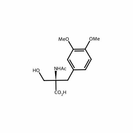 COc1ccc(C[C@](CO)(NC(C)=O)C(=O)O)cc1OC